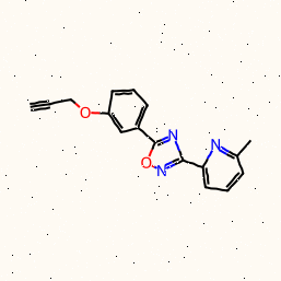 C#CCOc1cccc(-c2nc(-c3cccc(C)n3)no2)c1